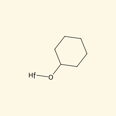 [Hf][O]C1CCCCC1